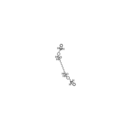 O=C(NCCCCCCCCCCCNC(=O)NC1CCC(CCN2[C@@H]3CC[C@H]2c2ccccc23)CC1)NC1CCC(CCN2[C@@H]3CC[C@H]2c2ccccc23)CC1